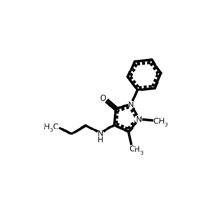 CCCNc1c(C)n(C)n(-c2ccccc2)c1=O